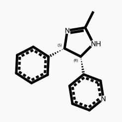 CC1=N[C@@H](c2ccccc2)[C@@H](c2cccnc2)N1